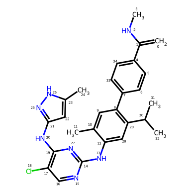 C=C(NC)c1ccc(-c2cc(C)c(Nc3ncc(Cl)c(Nc4cc(C)[nH]n4)n3)cc2C(C)C)cc1